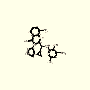 N#Cc1c(N)nc(N)nc1N[C@H](c1nc2c(C(F)(F)F)cccc2c(=O)n1-c1cc[nH]n1)C1CC1